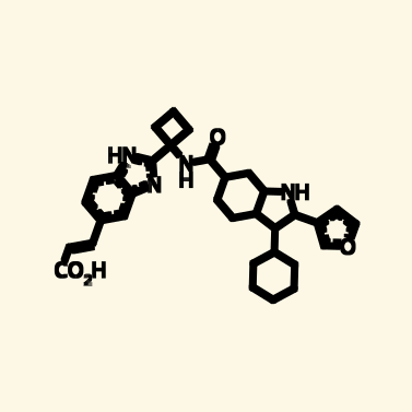 O=C(O)/C=C/c1ccc2[nH]c(C3(NC(=O)C4CCC5C(C4)NC(c4ccoc4)C5C4CCCCC4)CCC3)nc2c1